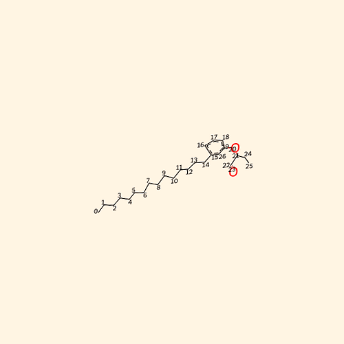 CCCCCCCCCCCCCCCc1cccc(OC(C=O)CC)c1